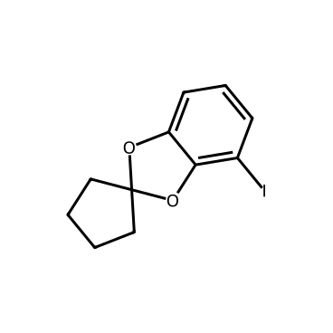 Ic1cccc2c1OC1(CCCC1)O2